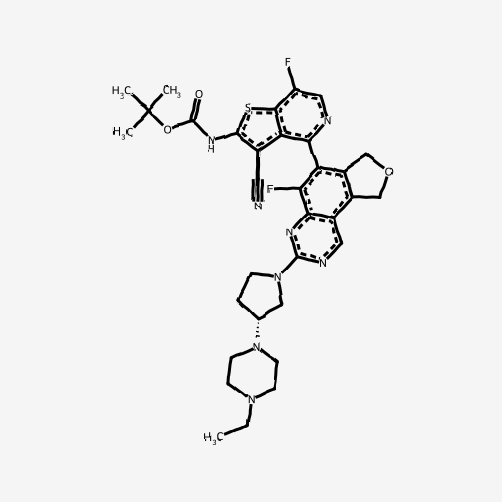 CCN1CCN([C@@H]2CCN(c3ncc4c5c(c(-c6ncc(F)c7sc(NC(=O)OC(C)(C)C)c(C#N)c67)c(F)c4n3)COC5)C2)CC1